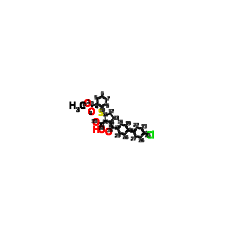 COC(=O)c1ccccc1SC1CCC(C(=O)c2ccc(-c3ccc(Cl)cc3)cc2)C1C(=O)O